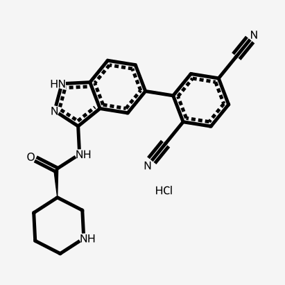 Cl.N#Cc1ccc(C#N)c(-c2ccc3[nH]nc(NC(=O)[C@@H]4CCCNC4)c3c2)c1